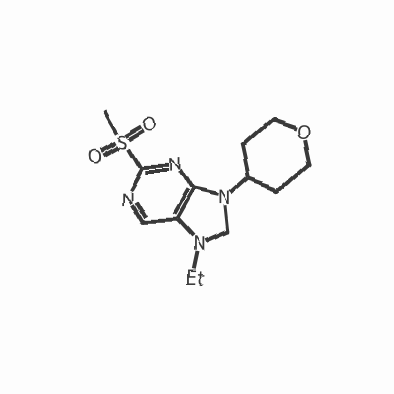 CCN1CN(C2CCOCC2)c2nc(S(C)(=O)=O)ncc21